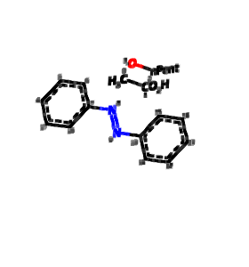 CC(=O)O.CCCCC[O].c1ccc(N=Nc2ccccc2)cc1